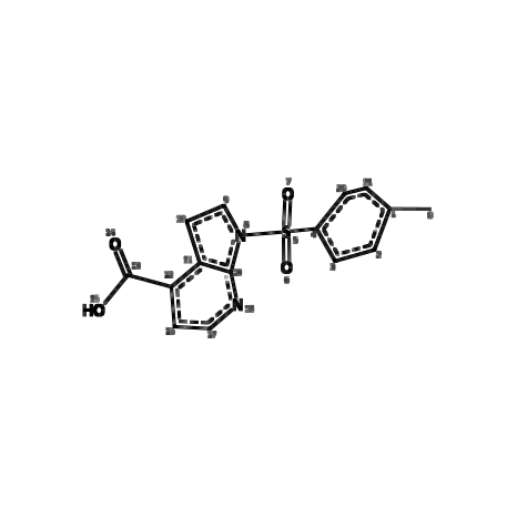 Cc1ccc(S(=O)(=O)n2ccc3c(C(=O)O)ccnc32)cc1